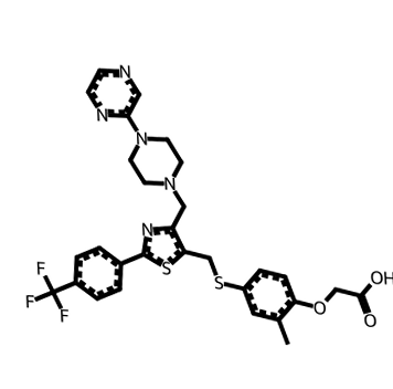 Cc1cc(SCc2sc(-c3ccc(C(F)(F)F)cc3)nc2CN2CCN(c3cnccn3)CC2)ccc1OCC(=O)O